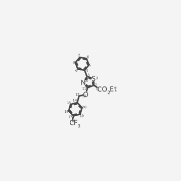 CCOC(=O)c1sc(-c2ccccc2)nc1OCc1ccc(C(F)(F)F)cc1